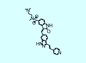 CN(C)CCN(C)S(=O)(=O)c1ccc2c(c1)C(=Cc1ccc3c(C=Cc4ccncc4)n[nH]c3c1)C(=O)N2